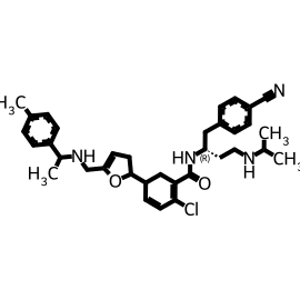 Cc1ccc(C(C)NCC2=CCC(C3C=CC(Cl)=C(C(=O)N[C@@H](CCNC(C)C)Cc4ccc(C#N)cc4)C3)O2)cc1